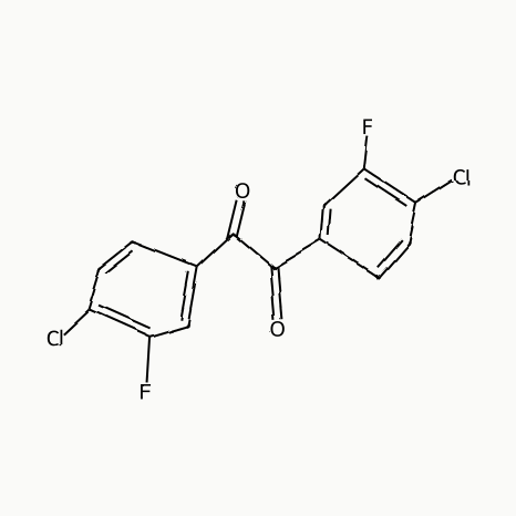 O=C(C(=O)c1ccc(Cl)c(F)c1)c1ccc(Cl)c(F)c1